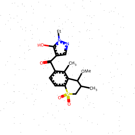 CCn1ncc(C(=O)c2ccc3c(c2C)C(OC)C(C)CS3(=O)=O)c1O